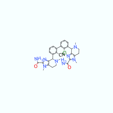 CN1CCc2c(nc(C(N)=O)n2C)C1c1cccc(-c2cccc(C3c4nc(C(N)=O)n(C)c4CCN3C)c2C#N)c1Cl